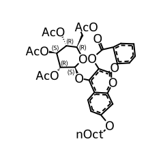 CCCCCCCCOc1ccc2c(O[C@@H]3O[C@H](COC(C)=O)[C@@H](OC(C)=O)[C@H](OC(C)=O)[C@H]3OC(C)=O)c(OC(=O)c3ccccc3)c(=O)oc2c1